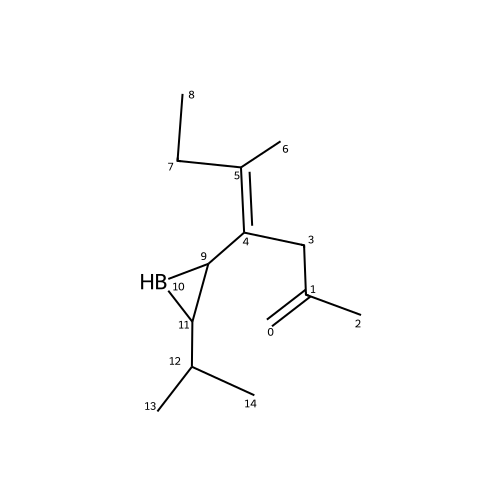 C=C(C)C/C(=C(\C)CC)C1BC1C(C)C